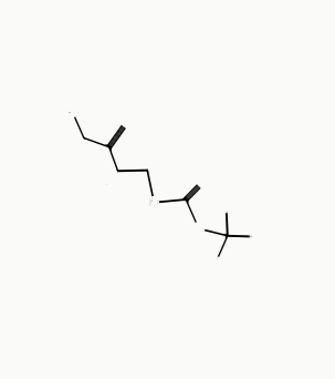 CC(C)(C)OC(=O)NC[C@H](F)C(=O)CBr